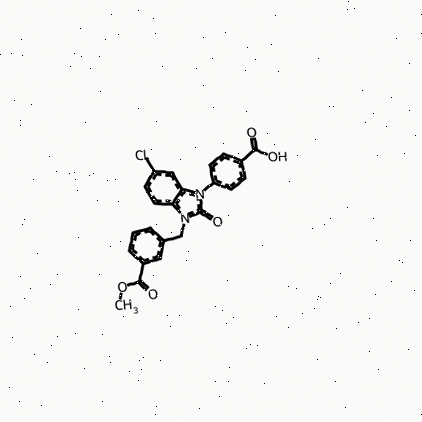 COC(=O)c1cccc(Cn2c(=O)n(-c3ccc(C(=O)O)cc3)c3cc(Cl)ccc32)c1